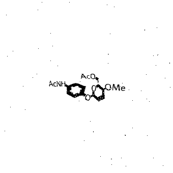 CO[C@H]1C=C[C@@H](Oc2ccc(NC(C)=O)cc2)O[C@@H]1COC(C)=O